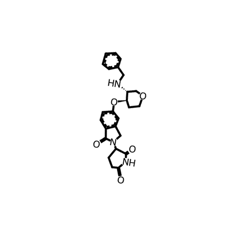 O=C1CCC(N2Cc3cc(O[C@@H]4CCOC[C@H]4NCc4ccccc4)ccc3C2=O)C(=O)N1